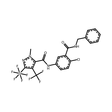 Cn1nc(S(F)(F)(F)(F)F)c(C(F)(F)F)c1C(=O)Nc1ccc(Cl)c(C(=O)NCc2ccccc2)c1